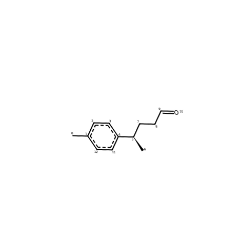 Cc1ccc([C@H](C)CCC=O)cc1